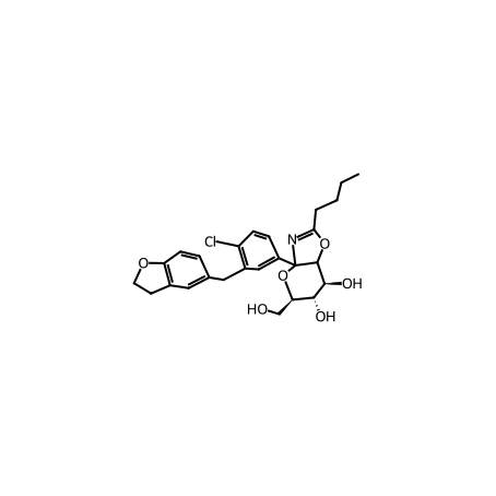 CCCCC1=NC2(c3ccc(Cl)c(Cc4ccc5c(c4)CCO5)c3)O[C@H](CO)[C@@H](O)[C@H](O)C2O1